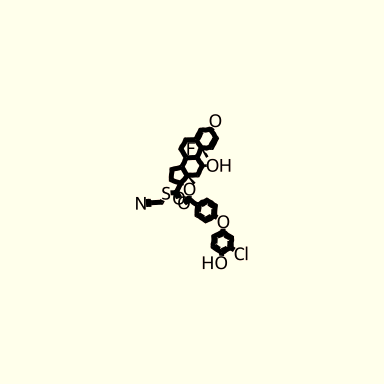 C[C@]12C=CC(=O)C=C1CCC1C3CC[C@](OC(=O)c4ccc(Oc5ccc(O)c(Cl)c5)cc4)(C(=O)SCC#N)[C@@]3(C)C[C@H](O)C12F